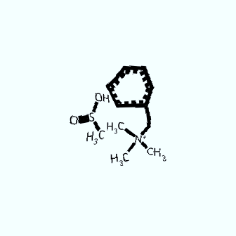 CS(=O)O.C[N+](C)(C)Cc1ccccc1